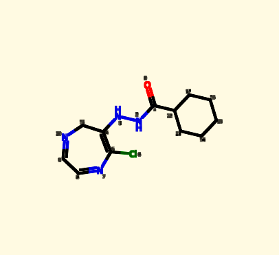 O=C(NNC1=C(Cl)N=CC=NC1)C1CCCCC1